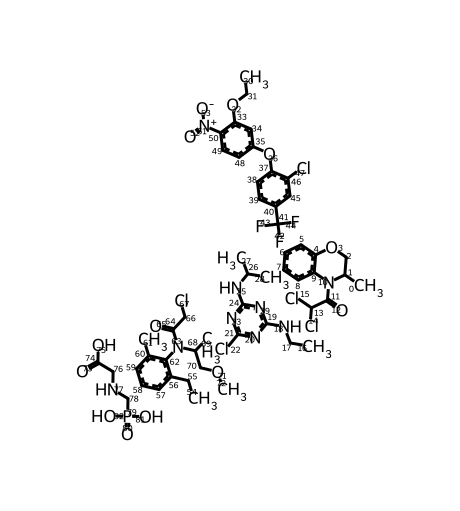 CC1COc2ccccc2N1C(=O)C(Cl)Cl.CCNc1nc(Cl)nc(NC(C)C)n1.CCOc1cc(Oc2ccc(C(F)(F)F)cc2Cl)ccc1[N+](=O)[O-].CCc1cccc(C)c1N(C(=O)CCl)C(C)COC.O=C(O)CNCP(=O)(O)O